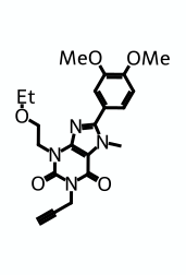 C#CCn1c(=O)c2c(nc(-c3ccc(OC)c(OC)c3)n2C)n(CCOCC)c1=O